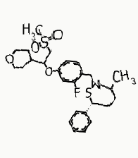 C[C@H]1CC[C@H](c2ccccc2)SN1Cc1ccc(OC(CS(C)(=O)=O)C2CCOCC2)cc1F